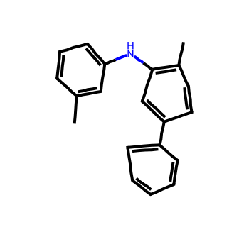 Cc1cccc(Nc2cc(-c3ccccc3)ccc2C)c1